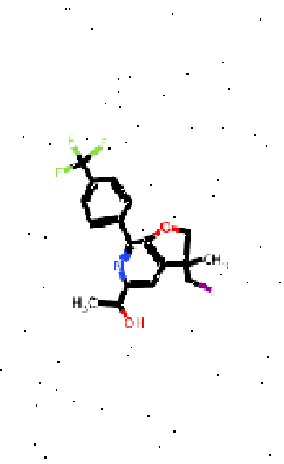 CC(O)c1cc2c(c(-c3ccc(C(F)(F)F)cc3)n1)OCC2(C)CI